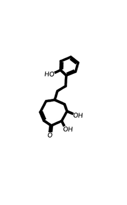 O=C1C=CCC(CCc2ccccc2O)CC(O)C1O